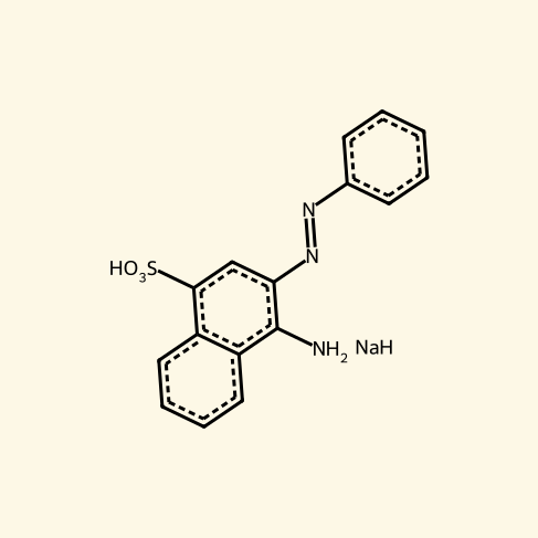 Nc1c(/N=N/c2ccccc2)cc(S(=O)(=O)O)c2ccccc12.[NaH]